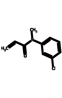 C=CC(=O)N(C)c1cccc(Cl)c1